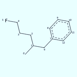 CC(CCCF)Cc1[c]cccc1